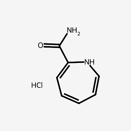 Cl.NC(=O)C1=CC=CC=CN1